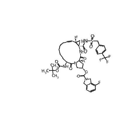 CC(C)(C)OC(=O)N[C@H]1CCCCC/C=C\[C@@H]2C[C@@]2(C(=O)NS(=O)(=O)Cc2ccc(C(F)(F)F)cc2)NC(=O)[C@@H]2C[C@@H](OC(=O)N3Cc4cccc(F)c4C3)CN2C1=O